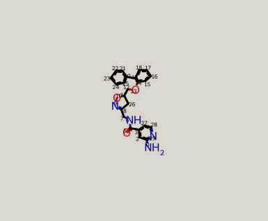 Nc1cc(C(=O)NCC2=NOC(COc3ccccc3-c3ccccc3)C2)ccn1